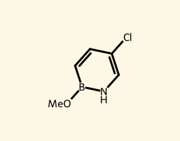 COB1C=CC(Cl)=CN1